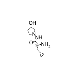 N[C@@H](CC1CC1)C(=O)NN1CCC(O)C1